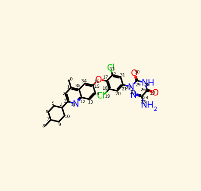 Cc1cc(C2CCC(C)CC2)nc2ccc(Oc3c(Cl)cc(-n4nc(N)c(=O)[nH]c4=O)cc3Cl)cc12